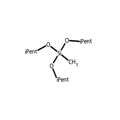 CCCC(C)O[Si](C)(OC(C)CCC)OC(C)CCC